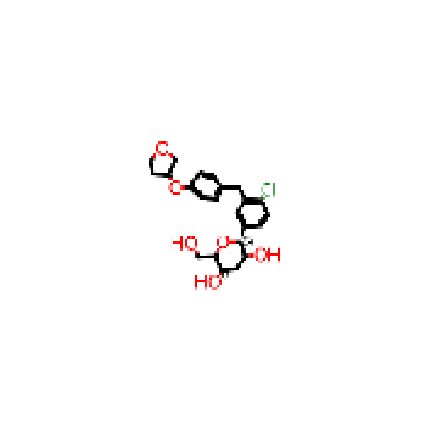 OCC1O[C@@H](c2ccc(Cl)c(Cc3ccc(OC4CCOC4)cc3)c2)C(O)C[C@@H]1O